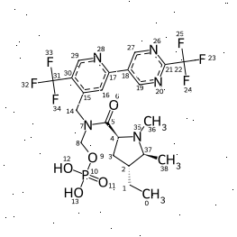 CC[C@@H]1C[C@@H](C(=O)N(COP(=O)(O)O)Cc2cc(-c3cnc(C(F)(F)F)nc3)ncc2C(F)(F)F)N(C)[C@H]1C